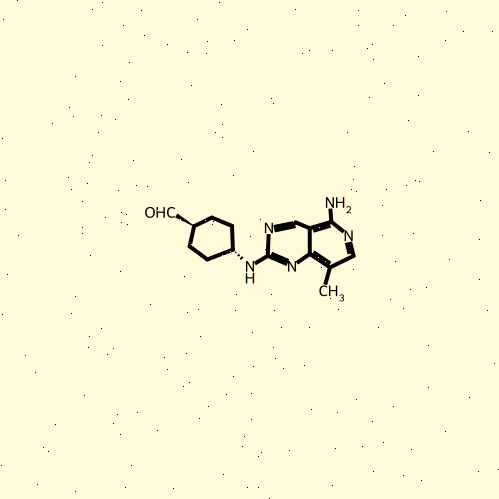 Cc1cnc(N)c2cnc(N[C@H]3CC[C@H](C=O)CC3)nc12